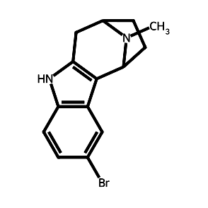 CN1C2CCC1c1c([nH]c3ccc(Br)cc13)C2